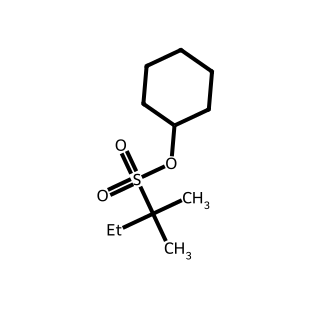 CCC(C)(C)S(=O)(=O)OC1CCCCC1